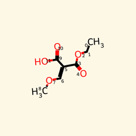 CCOC(=O)C(=COC)C(=O)O